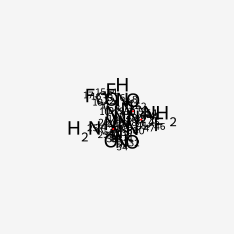 Cn1c2c(c(=O)[nH]c1=O)N(Cc1cc(F)cc(F)c1)C(N1CCCC(N)C1)N2N1c2c(c(=O)n(C)c(=O)n2C)N(Cc2cccc(F)c2)C1N1CCCC(N)C1